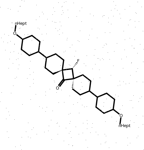 CCCCCCCOC1CCC(C2CC[C@]3(CC2)C(=O)[C@@]2(CCC(C4CCC(OCCCCCCC)CC4)CC2)[C@H]3F)CC1